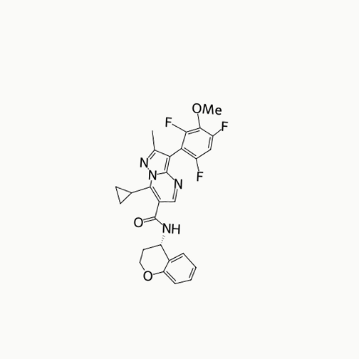 COc1c(F)cc(F)c(-c2c(C)nn3c(C4CC4)c(C(=O)N[C@H]4CCOc5ccccc54)cnc23)c1F